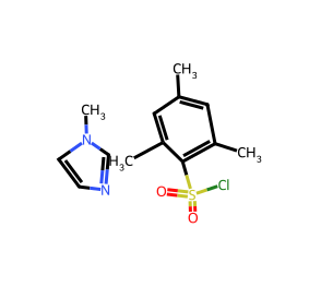 Cc1cc(C)c(S(=O)(=O)Cl)c(C)c1.Cn1ccnc1